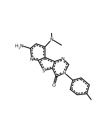 Cc1ccc(-n2cnc3c(sc4nc(N)cc(N(C)C)c43)c2=O)cc1